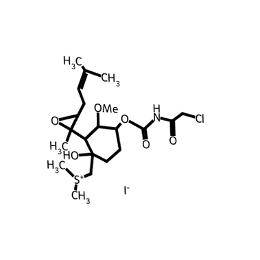 COC1C(OC(=O)NC(=O)CCl)CCC(O)(C[S+](C)C)C1C1(C)OC1CC=C(C)C.[I-]